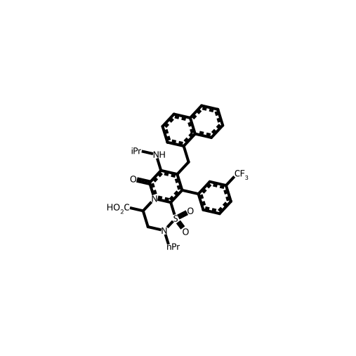 CCCN1CC(C(=O)O)n2c(c(-c3cccc(C(F)(F)F)c3)c(Cc3cccc4ccccc34)c(NC(C)C)c2=O)S1(=O)=O